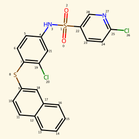 O=S(=O)(Nc1ccc(Sc2ccc3ccccc3c2)c(Cl)c1)c1ccc(Cl)nc1